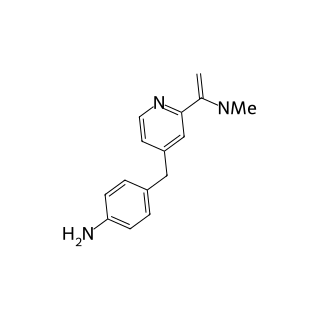 C=C(NC)c1cc(Cc2ccc(N)cc2)ccn1